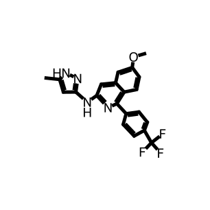 COc1ccc2c(-c3ccc(C(F)(F)F)cc3)nc(Nc3cc(C)[nH]n3)cc2c1